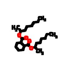 CCCCCCC(C)OC(=O)C1CCCCC1C(=O)OC(C)CCCCCC